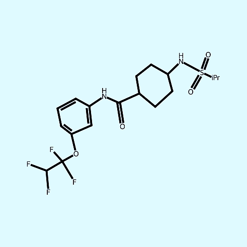 CC(C)S(=O)(=O)NC1CCC(C(=O)Nc2cccc(OC(F)(F)C(F)F)c2)CC1